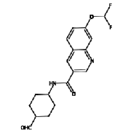 O=CC1CCC(NC(=O)c2cnc3cc(OC(F)F)ccc3c2)CC1